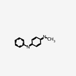 CN=C1C=CC(=Nc2ccccc2)C=C1